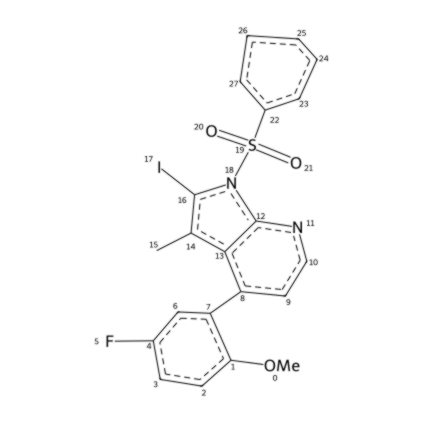 COc1ccc(F)cc1-c1ccnc2c1c(C)c(I)n2S(=O)(=O)c1ccccc1